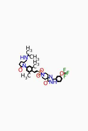 Cc1cc(N2C(=O)CCC2CNC(C)C)cc(C)c1C=CS(=O)(=O)N1CCC2(CC1)N=C(c1cccc(OC(F)(F)F)c1)NC2=O